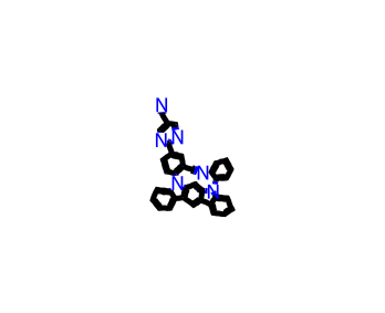 N#Cc1cnc(-c2ccc(-n3c4ccccc4c4cc5c6ccccc6n(-c6ccccc6)c5cc43)c(C#N)c2)nc1